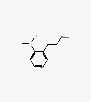 ClCCCc1ccccc1[SiH](Cl)Cl